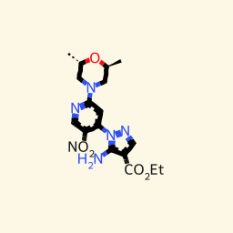 CCOC(=O)c1cnn(-c2cc(N3C[C@H](C)O[C@@H](C)C3)ncc2[N+](=O)[O-])c1N